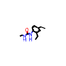 CCNC(=O)Nc1ccc(CC)cc1CC